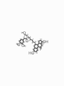 COCCN(CCCCC[C@@H]1Cc2cc(O)ccc2C2C1C1CC[C@H](O)[C@@]1(C)C[C@@H]2F)C(=O)Cc1ccc(OC)c(OC)c1